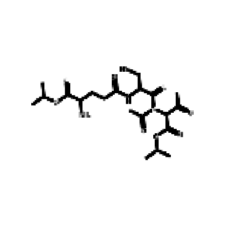 CC(=O)C(C(=O)OC(C)C)N(C(C)=O)C(=O)C(CS)NC(=O)CCC(N)C(=O)OC(C)C